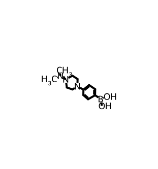 CN(C)N1CCN(c2ccc(B(O)O)cc2)CC1